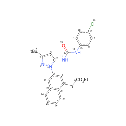 CCOC(=O)Cc1cc(-n2nc(C(C)(C)C)cc2NC(=O)Nc2ccc(Cl)cc2)cc2ccccc12